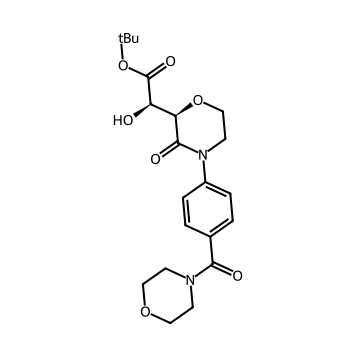 CC(C)(C)OC(=O)[C@H](O)[C@H]1OCCN(c2ccc(C(=O)N3CCOCC3)cc2)C1=O